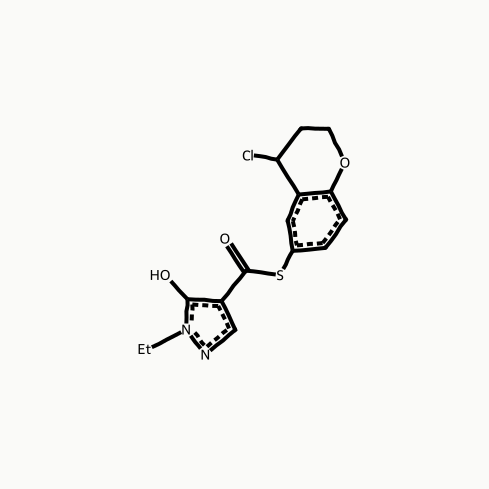 CCn1ncc(C(=O)Sc2ccc3c(c2)C(Cl)CCO3)c1O